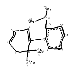 COC1(OC)CC=CC=C1c1ccccc1P(C(C)C)C(C)C